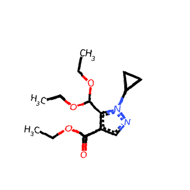 CCOC(=O)c1cnn(C2CC2)c1C(OCC)OCC